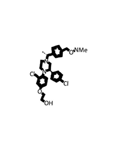 CNOCc1ccc([C@@H](C)N2CCN(c3ccc(OCCO)cc3Cl)[C@H](c3ccc(Cl)cc3)C2)cc1